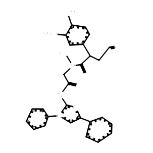 C=CCC(C(=O)N(CC(=O)Nc1nc(-c2ccccc2)cn1-c1ccccc1)C(C)C)c1ccc(OC)c(OC)c1